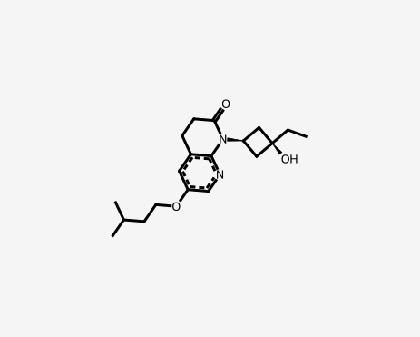 CC[C@]1(O)C[C@@H](N2C(=O)CCc3cc(OCCC(C)C)cnc32)C1